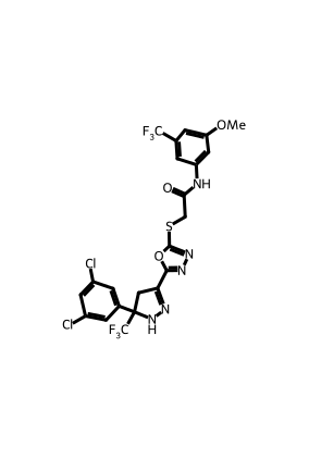 COc1cc(NC(=O)CSc2nnc(C3=NNC(c4cc(Cl)cc(Cl)c4)(C(F)(F)F)C3)o2)cc(C(F)(F)F)c1